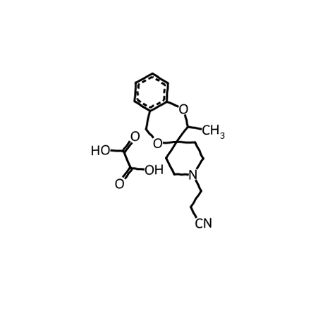 CC1Oc2ccccc2COC12CCN(CCC#N)CC2.O=C(O)C(=O)O